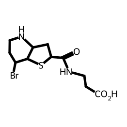 O=C(O)CCNC(=O)C1CC2NCCC(Br)C2S1